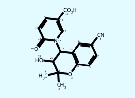 CC1(C)Oc2ccc(C#N)cc2C(n2cc(C(=O)O)ccc2=O)C1O